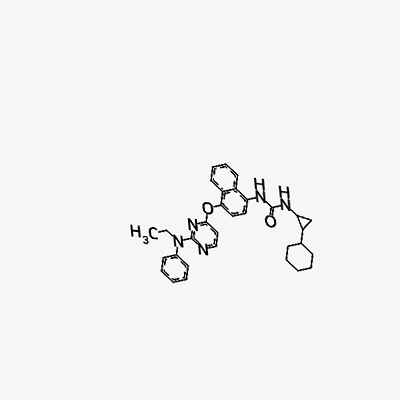 CCN(c1ccccc1)c1nccc(Oc2ccc(NC(=O)NC3CC3C3CCCCC3)c3ccccc23)n1